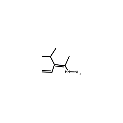 C=C/C(=C(/C)NN)C(C)C